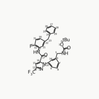 CC(C)(C)OC(=O)NCc1cccc(-n2nc(C(F)(F)F)cc2C(=O)Nc2cc(Cc3ccccc3)ccc2F)c1